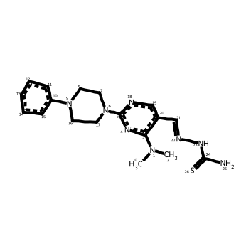 CN(C)c1nc(N2CCN(c3ccccc3)CC2)ncc1C=NNC(N)=S